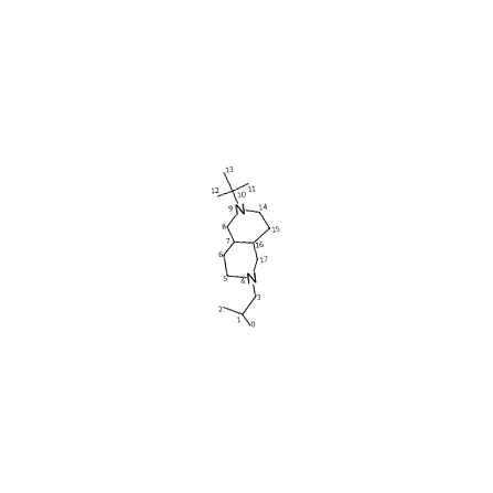 CC(C)CN1CCC2CN(C(C)(C)C)CCC2C1